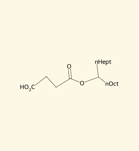 CCCCCCCCC(CCCCCCC)OC(=O)CCC(=O)O